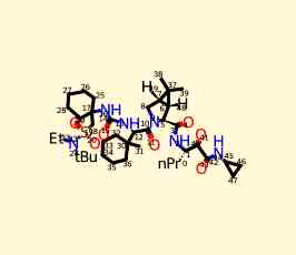 CCC[C@H](NC(=O)[C@@H]1[C@@H]2[C@H](CN1C(=O)[C@@H](NC(=O)NC1(CS(=O)(=O)N(CC)C(C)(C)C)CCCCC1)C1(C)CCCCC1)C2(C)C)C(=O)C(=O)NC1CC1